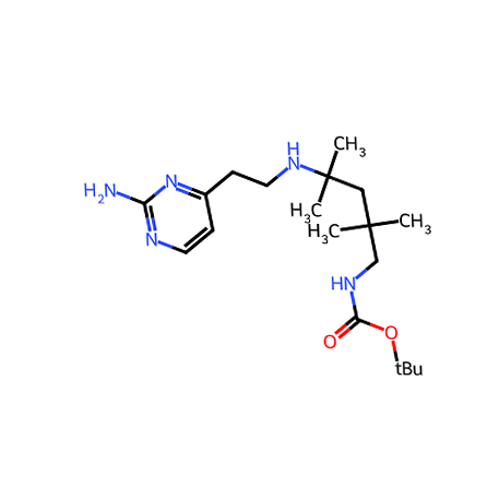 CC(C)(CNC(=O)OC(C)(C)C)CC(C)(C)NCCc1ccnc(N)n1